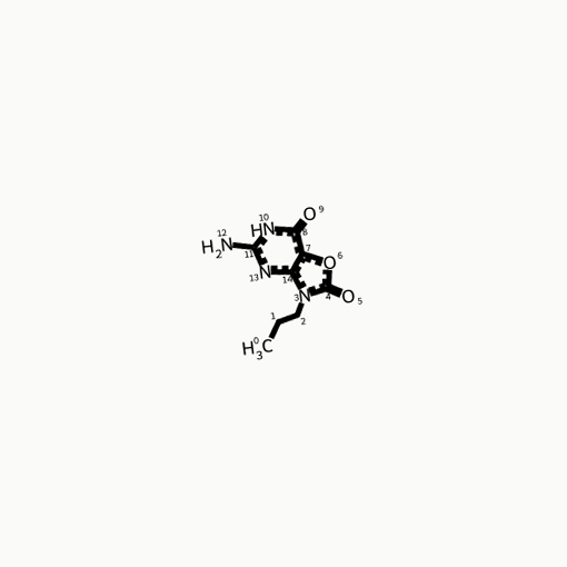 CCCn1c(=O)oc2c(=O)[nH]c(N)nc21